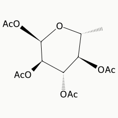 CC(=O)O[C@H]1O[C@H](C)[C@@H](OC(C)=O)[C@H](OC(C)=O)[C@H]1OC(C)=O